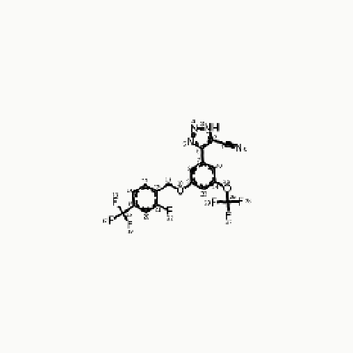 N#Cc1[nH]nnc1-c1cc(OCc2ccc(C(F)(F)F)cc2F)cc(OC(F)(F)F)c1